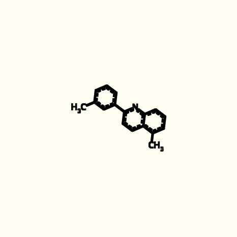 Cc1cccc(-c2ccc3c(C)cccc3n2)c1